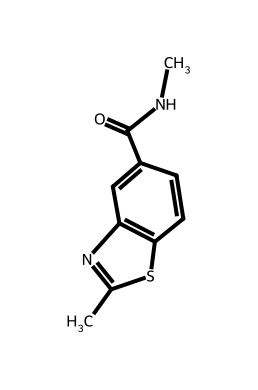 CNC(=O)c1ccc2sc(C)nc2c1